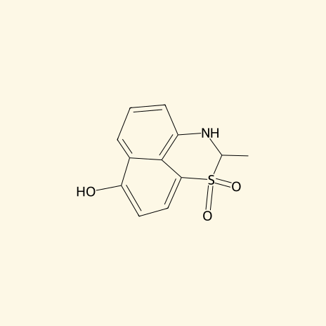 CC1Nc2cccc3c(O)ccc(c23)S1(=O)=O